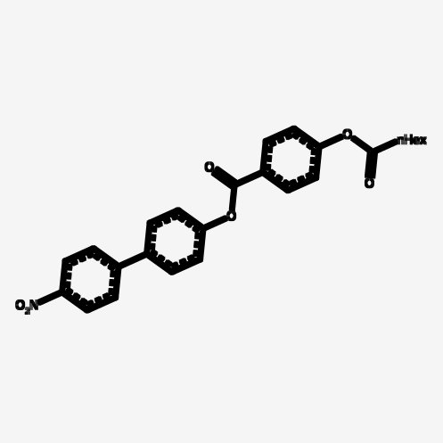 CCCCCCC(=O)Oc1ccc(C(=O)Oc2ccc(-c3ccc([N+](=O)[O-])cc3)cc2)cc1